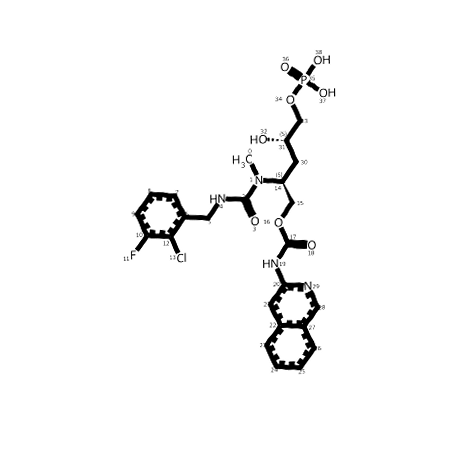 CN(C(=O)NCc1cccc(F)c1Cl)[C@H](COC(=O)Nc1cc2ccccc2cn1)C[C@H](O)COP(=O)(O)O